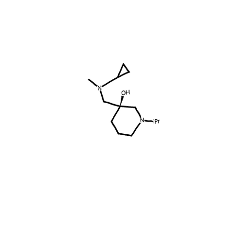 CC(C)N1CCC[C@](O)(CN(C)C2CC2)C1